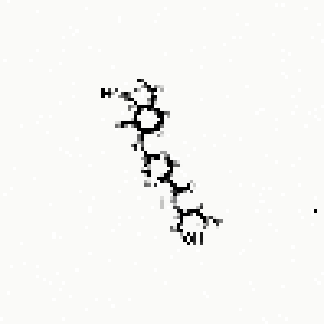 Cc1c(Oc2cnc(C(=O)NC(CO)CC(C)C)cn2)ccc2c1B(O)OC2